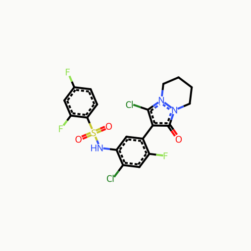 O=c1c(-c2cc(NS(=O)(=O)c3ccc(F)cc3F)c(Cl)cc2F)c(Cl)n2n1CCCC2